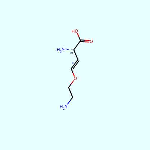 NCCO/C=C/[C@H](N)C(=O)O